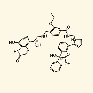 CCOc1cc(C(=O)NC[SH]2C=CC=C2c2cccc([C@](O)(C(=O)O)c3ccccc3)c2)ccc1CNC[C@H](O)c1ccc(O)c2[nH]c(=O)ccc12